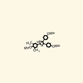 COc1ccc(-c2nc(-c3cc(C)c(OC)c(C)c3)[nH]c2-c2ccc(OC)cc2)cc1